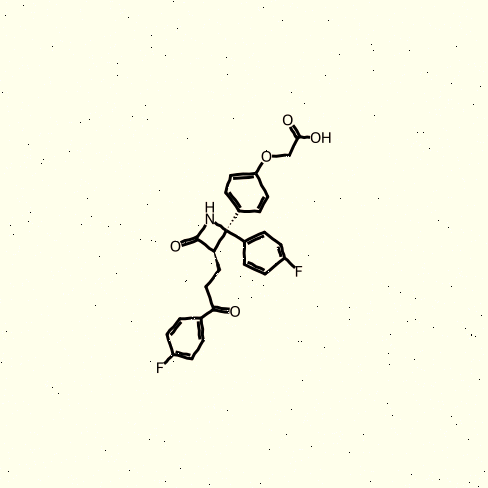 O=C(O)COc1ccc([C@@]2(c3ccc(F)cc3)NC(=O)[C@@H]2CCC(=O)c2ccc(F)cc2)cc1